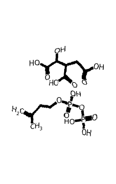 C=C(C)CCOP(=O)(O)OP(=O)(O)O.O=C(O)CC(C(=O)O)C(O)C(=O)O